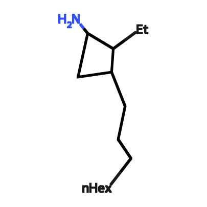 CCCCCCCCCC1CC(N)C1CC